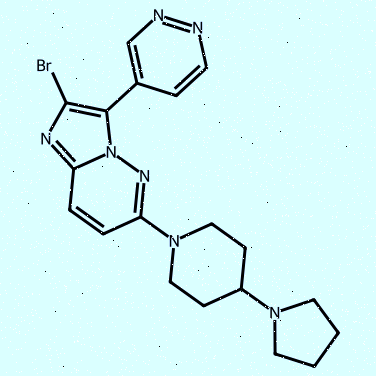 Brc1nc2ccc(N3CCC(N4CCCC4)CC3)nn2c1-c1ccnnc1